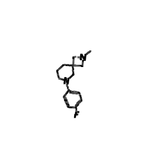 CN1CC2(CCCN(c3ccc(F)cc3)C2)C1